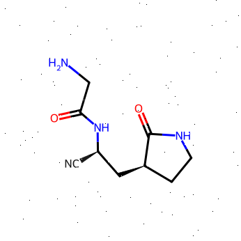 N#C[C@H](C[C@@H]1CCNC1=O)NC(=O)CN